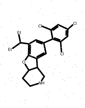 CCC(CC)c1cc(-c2c(Cl)cc(Cl)cc2Cl)cc2c1OC1CCNCC21